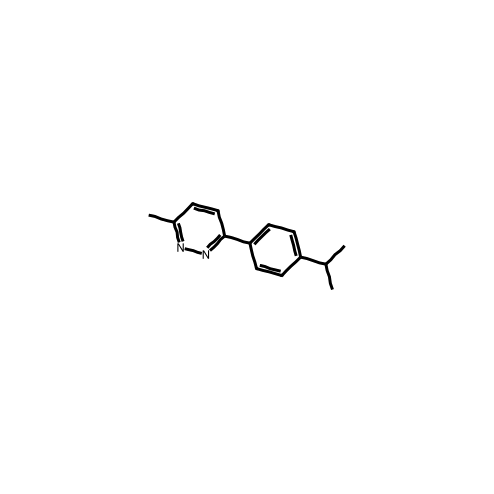 Cc1ccc(-c2ccc(C(C)C)cc2)nn1